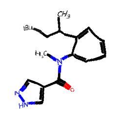 CC(CC(C)(C)C)c1ccccc1N(C)C(=O)c1cn[nH]c1